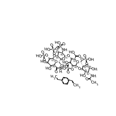 C=Cc1ccc(C=C)cc1.CC(=O)N[C@@H]1[C@@H](O)[C@H](O[C@@H]2O[C@H](C(=O)O)[C@@H](O[C@@H]3O[C@H](CO)[C@@H](O[C@H]4O[C@@H](C(=O)O)[C@H](O)[C@@H](O)[C@@H]4OS(=O)(=O)O)[C@H](OS(=O)(=O)O)[C@H]3NS(=O)(=O)O)[C@H](O)[C@H]2OS(=O)(=O)O)[C@H](COS(=O)(=O)O)O[C@H]1O